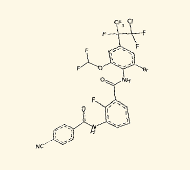 N#Cc1ccc(C(=O)Nc2cccc(C(=O)Nc3c(Br)cc(C(F)(C(F)(F)F)C(F)(F)Cl)cc3OC(F)F)c2F)cc1